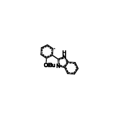 CC(C)COc1ccc[c]c1-c1nc2ccccc2[nH]1